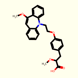 COC1=Cc2ccccc2N(CCOc2ccc(CC(OC)C(=O)O)cc2)c2ccccc21